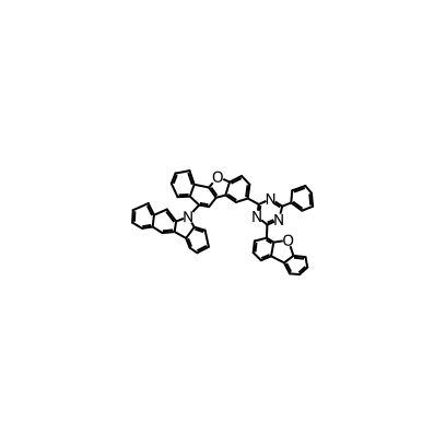 c1ccc(-c2nc(-c3ccc4oc5c6ccccc6c(-n6c7ccccc7c7cc8ccccc8cc76)cc5c4c3)nc(-c3cccc4c3oc3ccccc34)n2)cc1